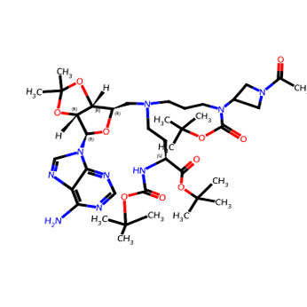 CC(=O)N1CC(N(CCCN(CC[C@H](NC(=O)OC(C)(C)C)C(=O)OC(C)(C)C)C[C@H]2O[C@@H](n3cnc4c(N)ncnc43)[C@@H]3OC(C)(C)O[C@@H]32)C(=O)OC(C)(C)C)C1